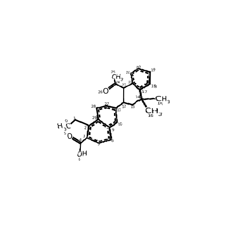 CCc1c(C(=O)O)ccc2cc(C3CC(C)(C)c4ccccc4C3C(C)=O)ccc12